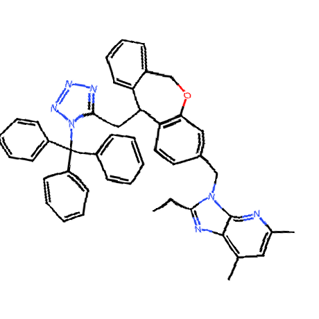 CCc1nc2c(C)cc(C)nc2n1Cc1ccc2c(c1)OCc1ccccc1C2Cc1nnnn1C(c1ccccc1)(c1ccccc1)c1ccccc1